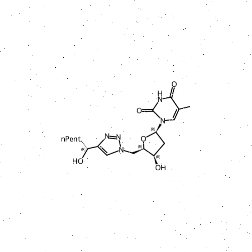 CCCCC[C@@H](O)c1cn(C[C@H]2O[C@@H](n3cc(C)c(=O)[nH]c3=O)C[C@H]2O)nn1